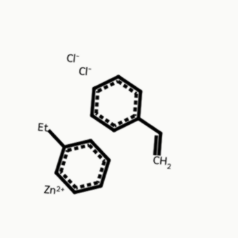 C=Cc1ccccc1.CCc1ccccc1.[Cl-].[Cl-].[Zn+2]